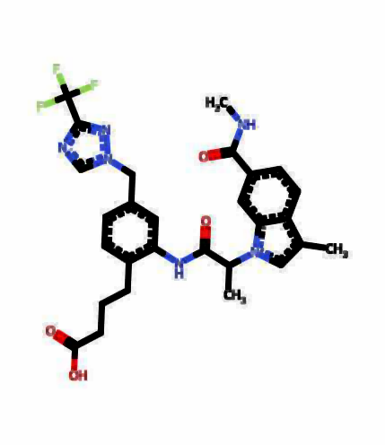 CNC(=O)c1ccc2c(C)cn(C(C)C(=O)Nc3cc(Cn4cnc(C(F)(F)F)n4)ccc3CCCC(=O)O)c2c1